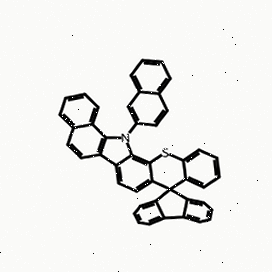 c1ccc2c(c1)Sc1c(ccc3c4ccc5ccccc5c4n(-c4ccc5ccccc5c4)c13)C21c2ccccc2-c2ccccc21